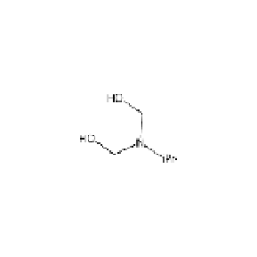 C[C](C)N(CO)CO